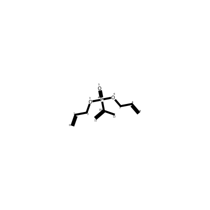 C=CCOP(=O)(OCC=C)C(=C)C